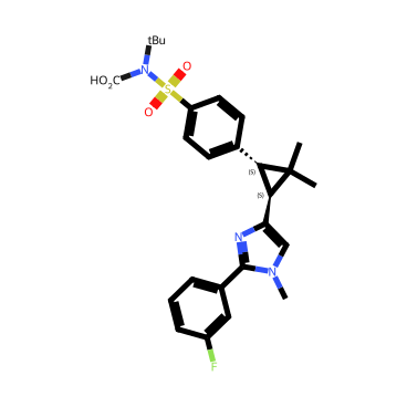 Cn1cc([C@H]2[C@H](c3ccc(S(=O)(=O)N(C(=O)O)C(C)(C)C)cc3)C2(C)C)nc1-c1cccc(F)c1